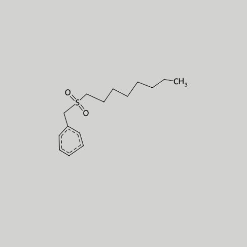 CCCCCCCCS(=O)(=O)Cc1ccccc1